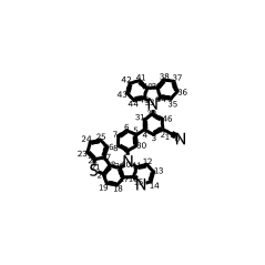 N#Cc1cc(-c2cccc(-n3c4cccnc4c4ccc5sc6ccccc6c5c43)c2)cc(-n2c3ccccc3c3ccccc32)c1